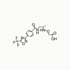 CC(CNC(=O)c1ccc(-c2noc(C(F)(F)F)n2)cc1)NOCC(=O)O